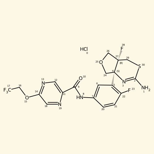 Cl.NC1=N[C@@]2(c3cc(NC(=O)c4cnc(OCC(F)(F)F)cn4)ccc3F)COC[C@@]2(F)CS1